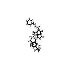 CN(CCN1CCCCC1)C1CC2CCCC2(C(=O)N2CCc3ncc(C(F)(F)F)cc3C2)C1